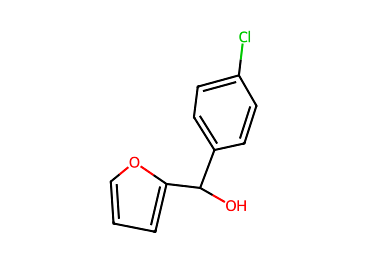 OC(c1ccc(Cl)cc1)c1ccco1